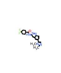 Cc1ncc(-c2ccc3nnc(NC(=O)C4CCC(F)(F)CC4)cc3c2)n1C